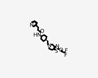 O=C(CCc1cccnc1)N[C@H]1CC[C@H](CCN2CCc3sc(OCC(F)F)nc3C2)CC1